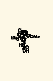 COCOc1ccc(Cl)c(Cl)c1[C@H]1C[C@H](CNC(=O)CO)CN1C(=O)OC(C)(C)C